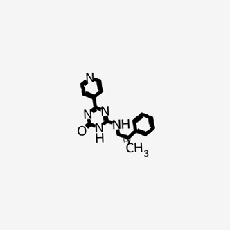 C[C@H](CNc1nc(-c2ccncc2)nc(=O)[nH]1)c1ccccc1